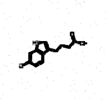 O=C(O)CCCc1c[nH]c2cc(Cl)ccc12